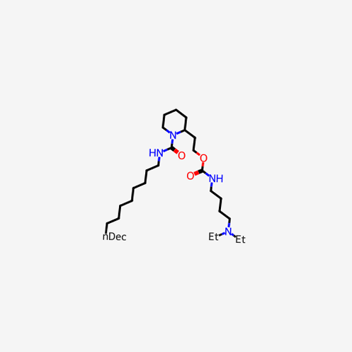 CCCCCCCCCCCCCCCCCCNC(=O)N1CCCCC1CCOC(=O)NCCCCN(CC)CC